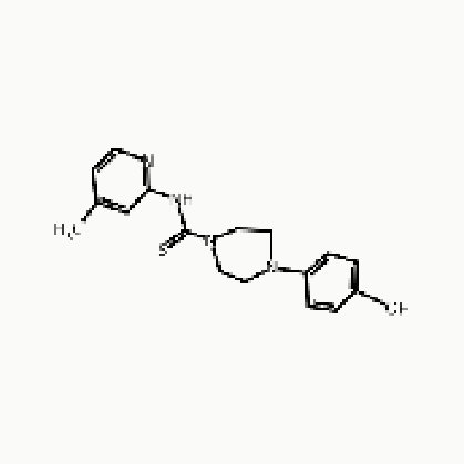 Cc1ccnc(NC(=S)N2CCN(c3ccc(O)cc3)CC2)c1